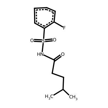 CC(C)CCC(=O)NS(=O)(=O)c1ccccc1F